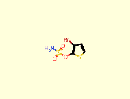 NS(=O)(=O)Oc1sccc1Br